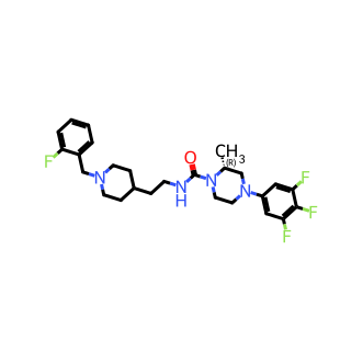 C[C@@H]1CN(c2cc(F)c(F)c(F)c2)CCN1C(=O)NCCC1CCN(Cc2ccccc2F)CC1